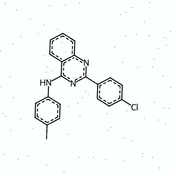 Cc1ccc(Nc2nc(-c3ccc(Cl)cc3)nc3ccccc23)cc1